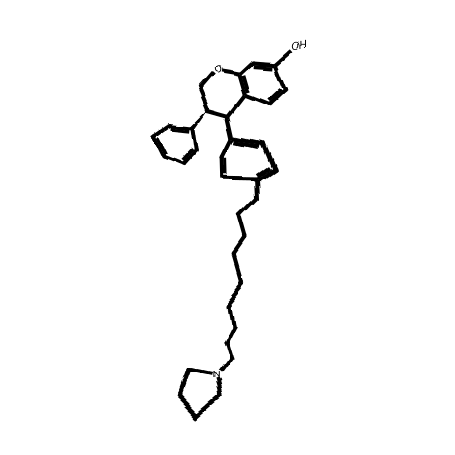 Oc1ccc2c(c1)OC[C@H](c1ccccc1)C2c1ccc(CCCCCCCCCN2CCCC2)cc1